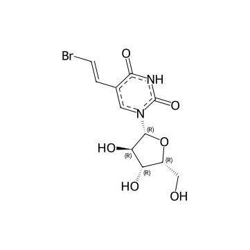 O=c1[nH]c(=O)n([C@@H]2O[C@H](CO)[C@H](O)[C@H]2O)cc1C=CBr